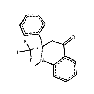 CN1c2ccccc2C(=O)C[C@@]1(c1ccccc1)C(F)(F)F